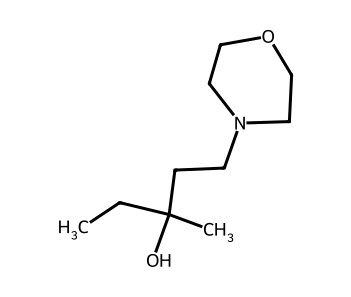 CCC(C)(O)CCN1CCOCC1